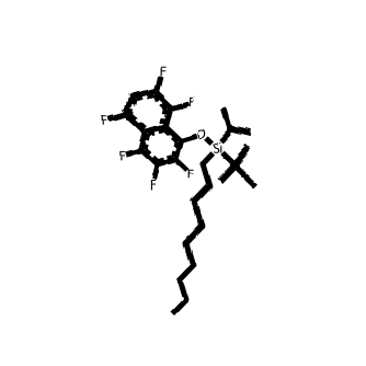 CCCCCCCCC[Si](Oc1c(F)c(F)c(F)c2c(F)[c]c(F)c(F)c12)(C(C)C)C(C)(C)C